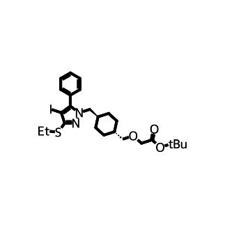 CCSc1nn(C[C@H]2CC[C@H](COCC(=O)OC(C)(C)C)CC2)c(-c2ccccc2)c1I